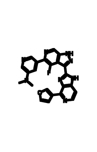 CN(C)c1cncc(-c2ncc3[nH]nc(-c4nc5c(-c6ccoc6)nccc5[nH]4)c3c2F)c1